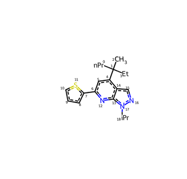 CCCC(C)(CC)c1cc(-c2cccs2)nc2c1cnn2C(C)C